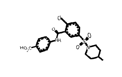 CC1CCN(S(=O)(=O)c2ccc(Cl)c(C(=O)Nc3ccc(C(=O)O)cc3)c2)CC1